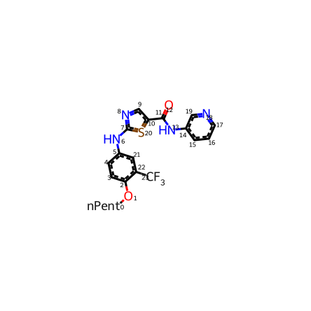 CCCCCOc1ccc(Nc2ncc(C(=O)Nc3cccnc3)s2)cc1C(F)(F)F